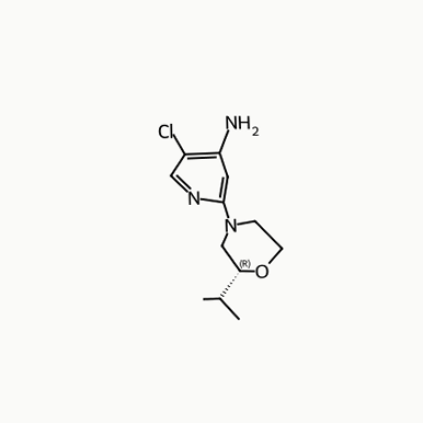 CC(C)[C@@H]1CN(c2cc(N)c(Cl)cn2)CCO1